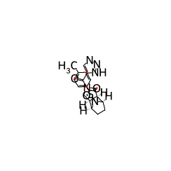 Cc1ccc(S(=O)(=O)N2[C@@H]3CC[C@H]2[C@H]2CN(C(=O)c4cnn[nH]4)C[C@H]23)cc1